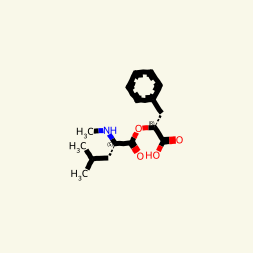 CN[C@@H](CC(C)C)C(=O)O[C@H](Cc1ccccc1)C(=O)O